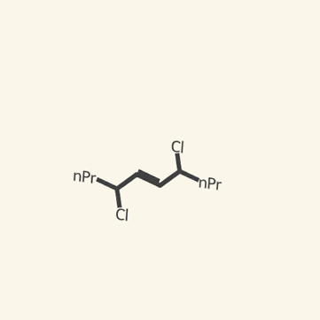 CCCC(Cl)/C=C/C(Cl)CCC